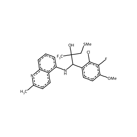 COc1ccc(C(Nc2cccc3nc(C)ccc23)C(O)(CSC)C(F)(F)F)c(Cl)c1F